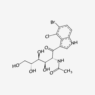 CC(=O)N[C@@H](C(=O)c1c[nH]c2ccc(Br)c(Cl)c12)[C@@H](O)[C@H](O)[C@H](O)CO